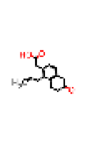 C=CCc1c(CC(=O)O)ccc2c1CCC(=O)C2